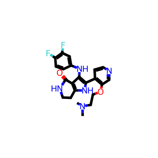 CN(C)CCOc1cnccc1-c1[nH]c2c(c1Nc1ccc(F)c(F)c1)C(=O)NCC2